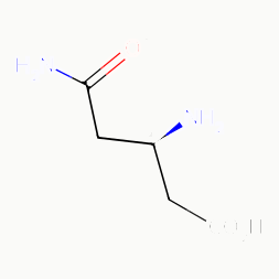 NC(=O)C[C@@H](N)CC(=O)O